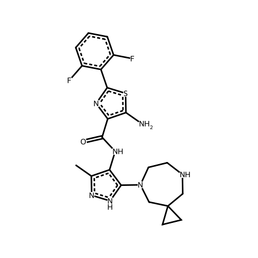 Cc1n[nH]c(N2CCNCC3(CC3)C2)c1NC(=O)c1nc(-c2c(F)cccc2F)sc1N